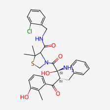 Cc1c(O)cccc1C(=O)[C@@H](Cc1ccccc1)[C@](N)(O)C(=O)N1CSC(C)(C)C1C(=O)NCc1ccccc1Cl